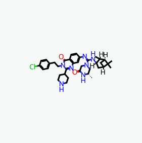 C[C@H]1[C@@H](NC(=Nc2ccc3c(=O)n(CCc4ccc(Cl)cc4)c(C4CCNCC4)nc3c2)N2CC(=O)N[C@@H](C)C2)C[C@@H]2C[C@@H]1C2(C)C